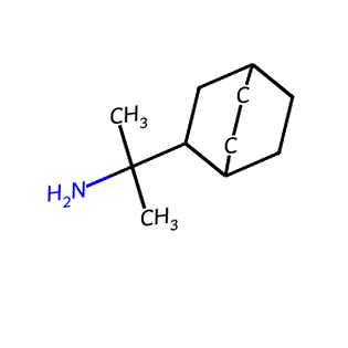 CC(C)(N)C1CC2CCC1CC2